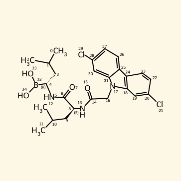 CC(C)C[C@H](NC(=O)[C@H](CC(C)C)NC(=O)Cn1c2cc(Cl)ccc2c2ccc(Cl)cc21)B(O)O